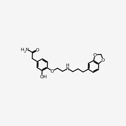 NC(=O)Cc1ccc(OCCNCCCc2ccc3c(c2)OCO3)c(O)c1